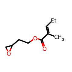 CCC=C(C)C(=O)OCCC1CO1